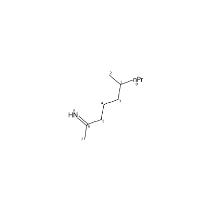 CCCC(C)CCCC(C)=N